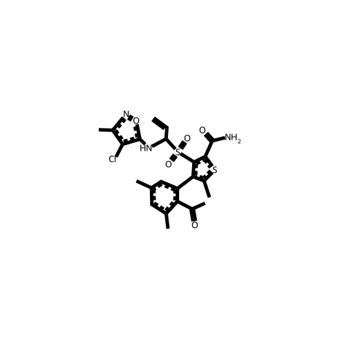 C=CC(Nc1onc(C)c1Cl)S(=O)(=O)c1c(C(N)=O)sc(C)c1-c1cc(C)cc(C)c1C(C)=O